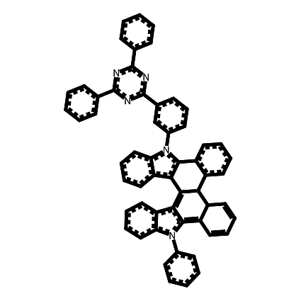 C1=CC2=c3c(c4ccccc4n3-c3ccccc3)=C3c4c(n(-c5cccc(-c6nc(-c7ccccc7)nc(-c7ccccc7)n6)c5)c5ccccc45)-c4ccccc4C3C2C=C1